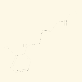 O=C(O)NCC=CCNc1ccccc1[N+](=O)[O-]